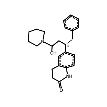 O=C1CCc2cc([C@@H](Cc3ccccc3)CC(O)N3CCCCC3)ccc2N1